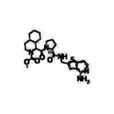 COC(=O)N1CCC2CCCCC2C1C(=O)N1CCC[C@H]1C(=O)NCc1cc2c(N)nccc2s1